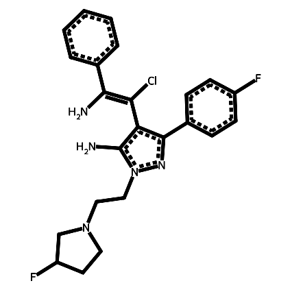 N/C(=C(/Cl)c1c(-c2ccc(F)cc2)nn(CCN2CCC(F)C2)c1N)c1ccccc1